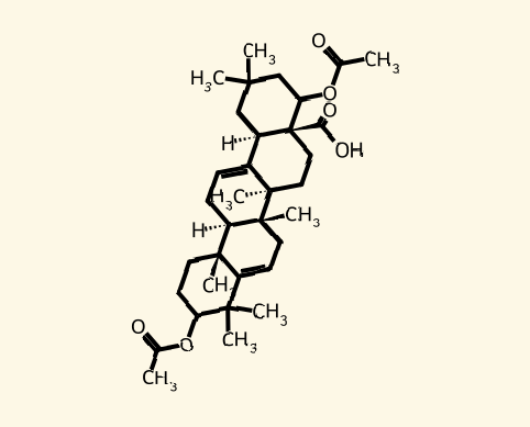 CC(=O)OC1CC[C@@]2(C)C(=CC[C@]3(C)[C@@H]2CC=C2[C@H]4CC(C)(C)CC(OC(C)=O)[C@]4(C(=O)O)CC[C@]23C)C1(C)C